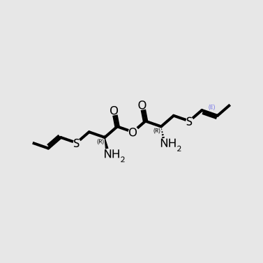 CC=CSC[C@H](N)C(=O)OC(=O)[C@@H](N)CS/C=C/C